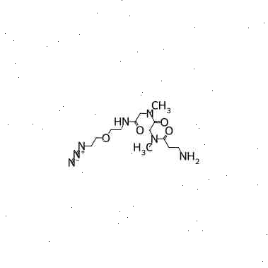 CN(CC(=O)NCCOCCN=[N+]=[N-])C(=O)CN(C)C(=O)CCN